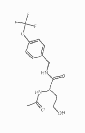 CC(=O)NC(CCO)C(=O)NCc1ccc(OC(F)(F)F)cc1